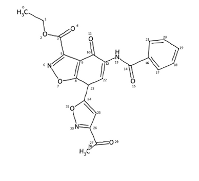 CCOC(=O)c1noc2c1C(=O)C(NC(=O)c1ccccc1)=CC2c1cc(C(C)=O)no1